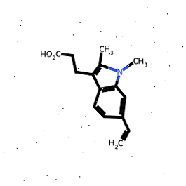 C=Cc1ccc2c(CCC(=O)O)c(C)n(C)c2c1